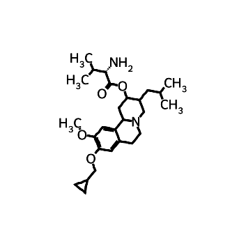 COc1cc2c(cc1OCC1CC1)CCN1CC(CC(C)C)C(OC(=O)[C@@H](N)C(C)C)CC21